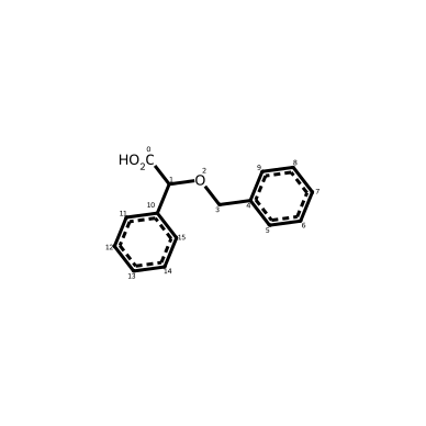 O=C(O)C(OCc1ccccc1)c1ccccc1